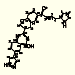 O=C(NCCc1cnc[nH]1)c1ccc2c(c1)CC(c1nc(O)c3cc(-c4cn[nH]c4)ccc3n1)CO2